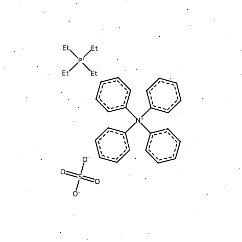 CC[P+](CC)(CC)CC.O=S(=O)([O-])[O-].c1ccc([N+](c2ccccc2)(c2ccccc2)c2ccccc2)cc1